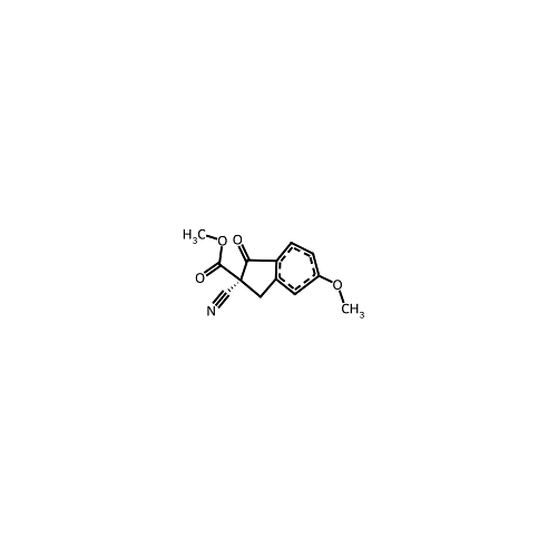 COC(=O)[C@]1(C#N)Cc2cc(OC)ccc2C1=O